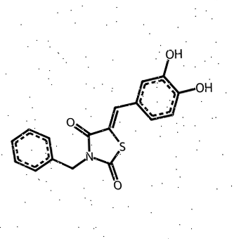 O=C1S/C(=C\c2ccc(O)c(O)c2)C(=O)N1Cc1ccccc1